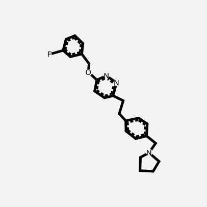 Fc1cccc(COc2ccc(CCc3ccc(CN4CCCC4)cc3)nn2)c1